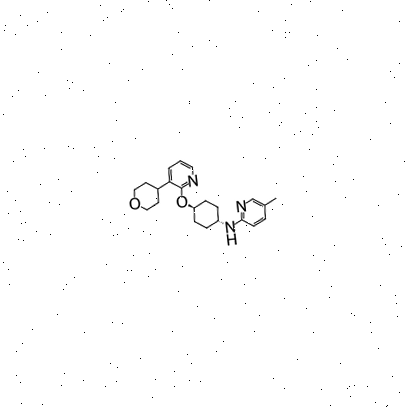 Cc1ccc(N[C@H]2CC[C@H](Oc3ncccc3C3CCOCC3)CC2)nc1